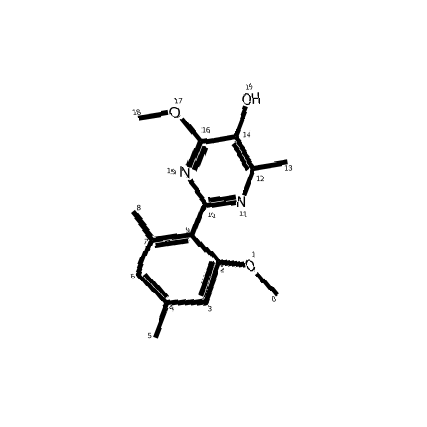 COc1cc(C)cc(C)c1-c1nc(C)c(O)c(OC)n1